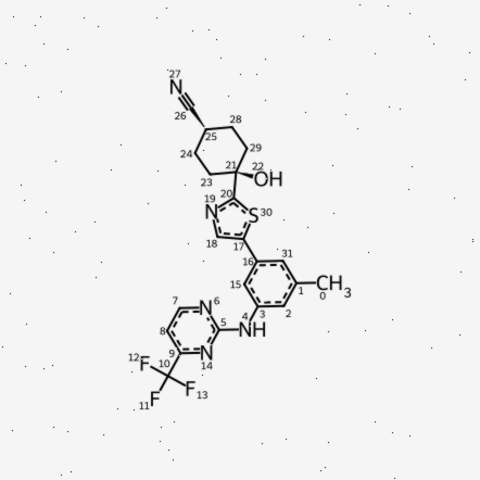 Cc1cc(Nc2nccc(C(F)(F)F)n2)cc(-c2cnc([C@]3(O)CC[C@@H](C#N)CC3)s2)c1